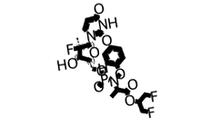 CC(C(=O)OC(CF)CF)N(Oc1ccccc1)[PH](=O)OC[C@H]1O[C@@H](n2ccc(=O)[nH]c2=O)[C@](C)(F)[C@@H]1O